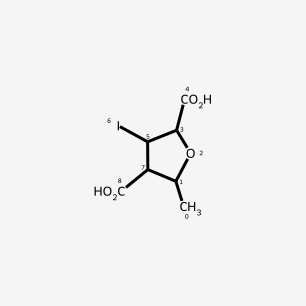 CC1OC(C(=O)O)C(I)C1C(=O)O